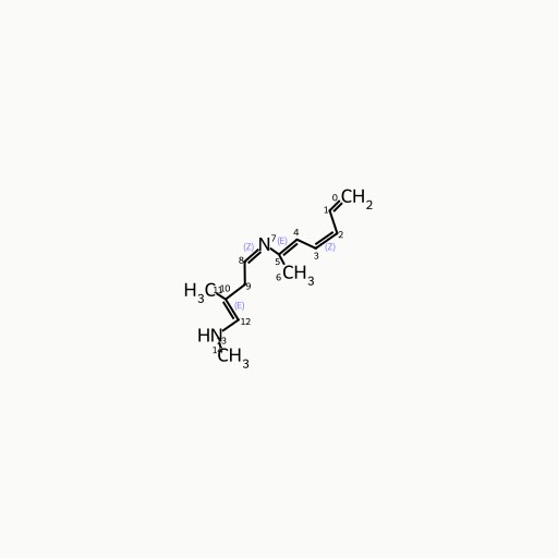 C=C\C=C/C=C(C)/N=C\C/C(C)=C/NC